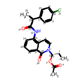 CC[C@H](OC(C)=O)n1ccc2c(NC(=O)C(C)c3ccc(Cl)cc3)cccc2c1=O